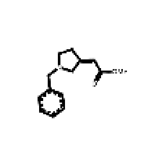 COC(=O)/C=C1/CCN(Cc2ccccc2)C1